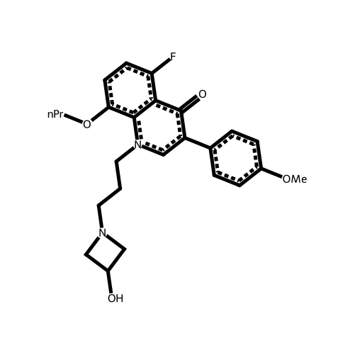 CCCOc1ccc(F)c2c(=O)c(-c3ccc(OC)cc3)cn(CCCN3CC(O)C3)c12